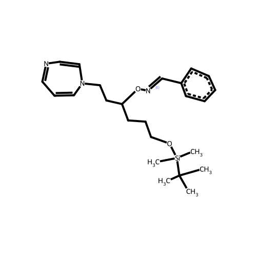 CC(C)(C)[Si](C)(C)OCCCC(CCN1C=CC=NC=C1)O/N=C/c1ccccc1